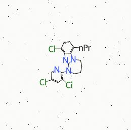 CCCc1ccc(Cl)c2nc3n(c12)CCCCN3c1ncc(Cl)cc1Cl